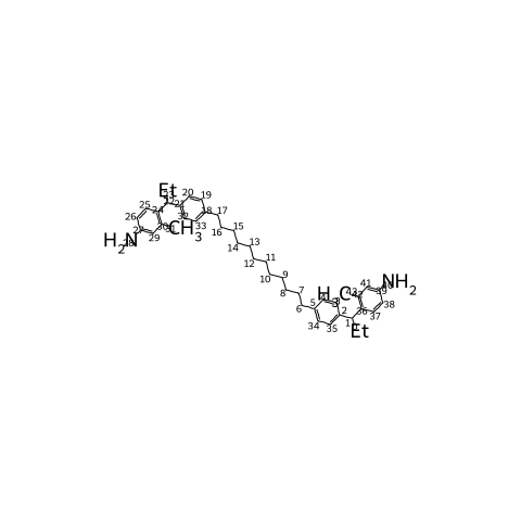 CCC(c1ccc(CCCCCCCCCCCCc2ccc(C(CC)c3ccc(N)cc3C)cc2)cc1)c1ccc(N)cc1C